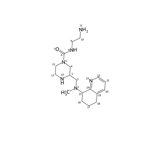 CN(CC1CN(C(=O)NCCN)CCN1)C1CCCc2cccnc21